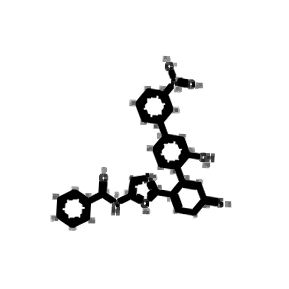 O=C(Nc1cnc(C2=CCC(=S)C=C2c2ccc(-c3cccc([N+](=O)[O-])c3)cc2O)o1)c1ccccc1